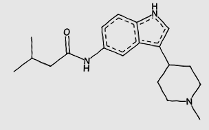 CC(C)CC(=O)Nc1ccc2[nH]cc(C3CCN(C)CC3)c2c1